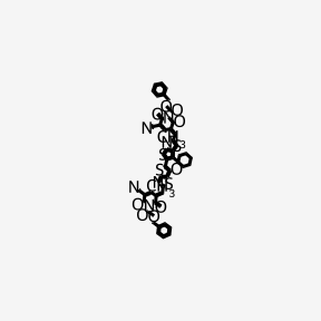 CC1=C(C#N)C(=O)N(C(=O)OCc2ccccc2)C(=O)/C1=C/c1nc2sc3c(c2s1)OC1(CCCCC1)c1c-3sc2nc(/C=C3/C(=O)N(C(=O)OCc4ccccc4)C(=O)C(C#N)=C3C)sc12